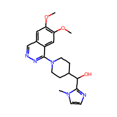 COc1cc2cnnc(N3CCC(C(O)c4nccn4C)CC3)c2cc1OC